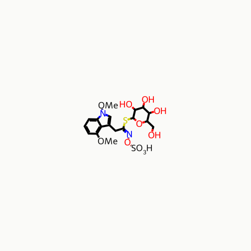 COc1cccc2c1c(C/C(=N\OS(=O)(=O)O)SC1OC(CO)C(O)C(O)C1O)cn2OC